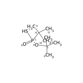 CC(C)(C)OP(=O)(S)C(C)(C)C